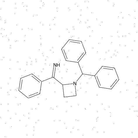 N=C(c1ccccc1)C1CCN1C(c1ccccc1)c1ccccc1